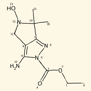 CCOC(=O)n1nc2c(c1N)CN(O)C2(C)C